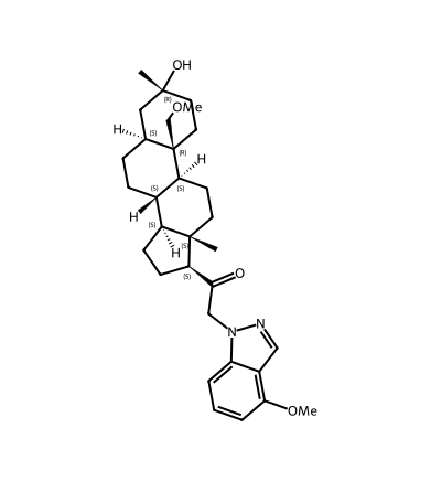 COC[C@]12CC[C@@](C)(O)C[C@@H]1CC[C@H]1[C@@H]3CC[C@H](C(=O)Cn4ncc5c(OC)cccc54)[C@@]3(C)CC[C@@H]12